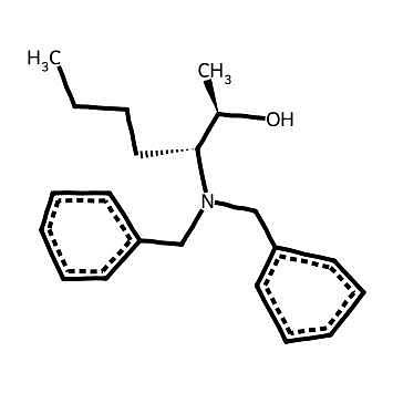 CCCC[C@H]([C@@H](C)O)N(Cc1ccccc1)Cc1ccccc1